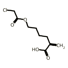 C=C(CCCCOC(=O)CCl)C(=O)O